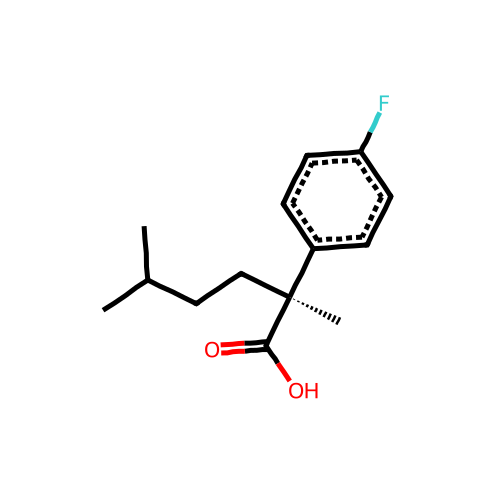 CC(C)CC[C@](C)(C(=O)O)c1ccc(F)cc1